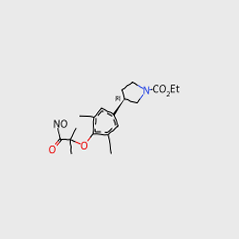 CCOC(=O)N1CC[C@H](c2cc(C)c(OC(C)(C)C(=O)N=O)c(C)c2)C1